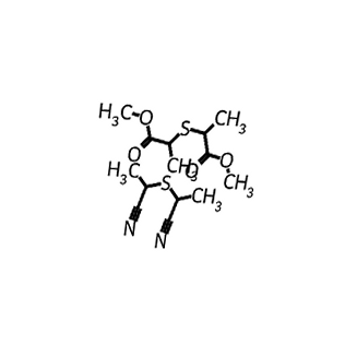 CC(C#N)SC(C)C#N.COC(=O)C(C)SC(C)C(=O)OC